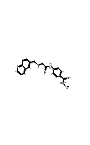 O=C(CNCc1ccc2ccccc2c1)Nc1ccc(C(=O)NO)cc1